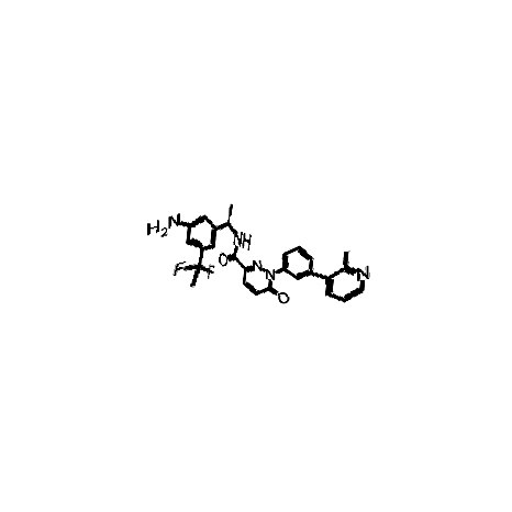 Cc1ncccc1-c1cccc(-n2nc(C(=O)N[C@H](C)c3cc(N)cc(C(C)(F)F)c3)ccc2=O)c1